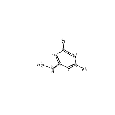 Cc1cc(NN)nc(Cl)n1